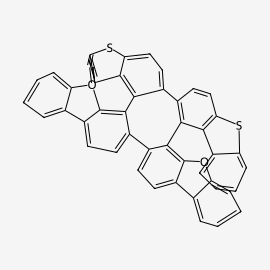 c1ccc2c(c1)oc1c3c(ccc12)-c1ccc2c(oc4ccccc42)c1-c1c(ccc2sc4ccccc4c12)-c1ccc2sc4ccccc4c2c1-3